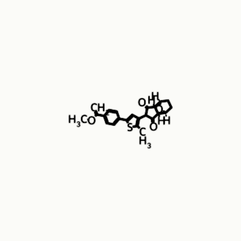 C=C(OC)c1ccc(-c2cc(C3C(=O)[C@@H]4[C@H](C3=O)[C@H]3CC[C@@H]4O3)c(C)s2)cc1